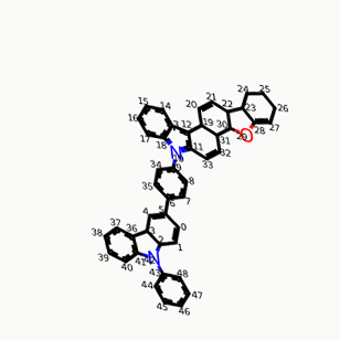 C1=CC2C(C=C1c1ccc(-n3c4c(c5ccccc53)C3C=CC5C6CCCC=C6OC5C3C=C4)cc1)c1ccccc1N2c1ccccc1